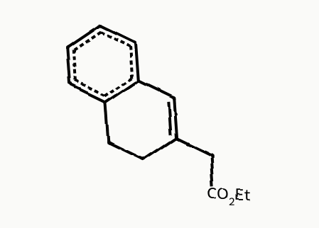 CCOC(=O)CC1=Cc2ccccc2CC1